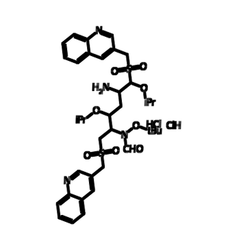 CC(C)OC(CC(N)C(OC(C)C)S(=O)(=O)Cc1cnc2ccccc2c1)C(CS(=O)(=O)Cc1cnc2ccccc2c1)N(C=O)OC(C)(C)C.Cl.Cl